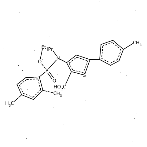 CCOP(=O)(c1ccc(C)cc1C)N(c1cc(-c2ccc(C)cc2)sc1C(=O)O)C(C)C